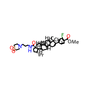 COC(=O)c1ccc(C2=CC[C@]3(C)[C@H]4CC[C@@H]5[C@H]6[C@H](C(C)C)CC[C@]6(C(=O)NCCCN6CCS(=O)(=O)CC6)CC[C@@]5(C)[C@]4(C)CC[C@H]3C2(C)C)cc1F